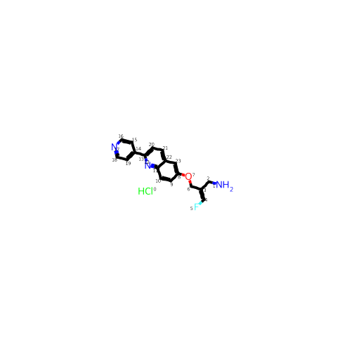 Cl.NC/C(=C/F)COc1ccc2nc(-c3ccncc3)ccc2c1